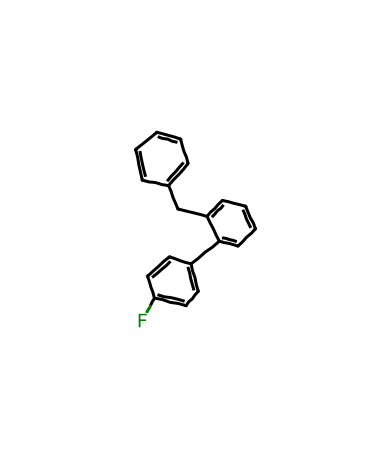 Fc1ccc(-c2ccccc2Cc2ccccc2)cc1